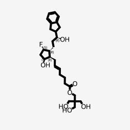 O=C(CCCC=CC[C@@H]1[C@@H](CC[C@@H](O)C2Cc3ccccc3C2)[C@@H](F)C[C@@H]1O)OCC(CO)(CO)CO